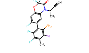 C#C[C@H](C)N1C(=O)C(F)(F)Oc2cc(F)c(-c3c(F)c(F)c(C)c(I)c3P)cc21